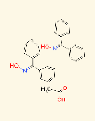 CC(=O)O.ON=C(c1ccccc1)c1ccccc1.ON=C(c1ccccc1)c1ccccc1